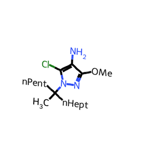 CCCCCCCC(C)(CCCCC)n1nc(OC)c(N)c1Cl